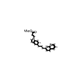 COC(=O)C=Cn1ccc2cc(CCCc3ccc4cccnc4n3)ccc21